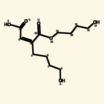 O=C(O)C=C(CCCCO)C(=O)OCCCCO